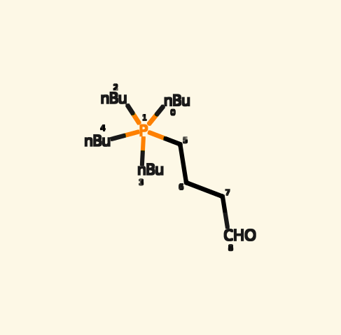 CCCCP(CCCC)(CCCC)(CCCC)CCCC=O